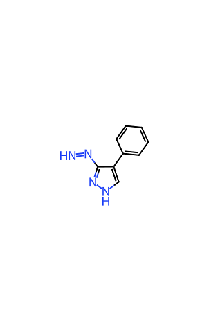 N=Nc1n[nH]cc1-c1ccccc1